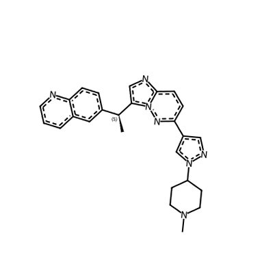 C[C@@H](c1ccc2ncccc2c1)c1cnc2ccc(-c3cnn(C4CCN(C)CC4)c3)nn12